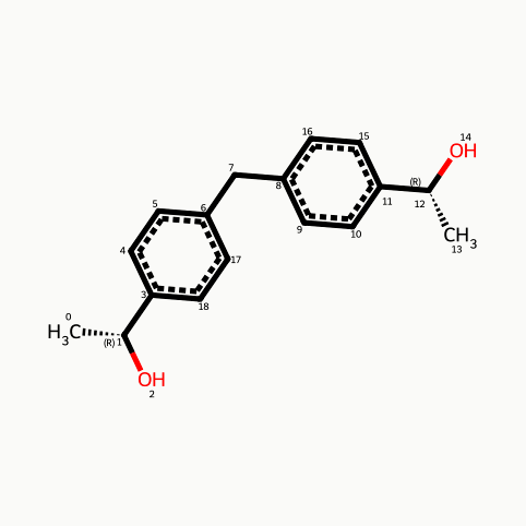 C[C@@H](O)c1ccc(Cc2ccc([C@@H](C)O)cc2)cc1